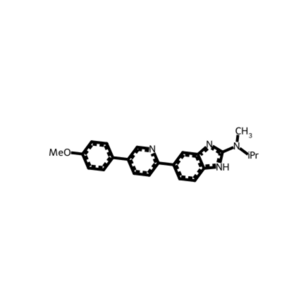 COc1ccc(-c2ccc(-c3ccc4[nH]c(N(C)C(C)C)nc4c3)nc2)cc1